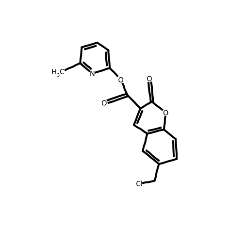 Cc1cccc(OC(=O)c2cc3cc(CCl)ccc3oc2=O)n1